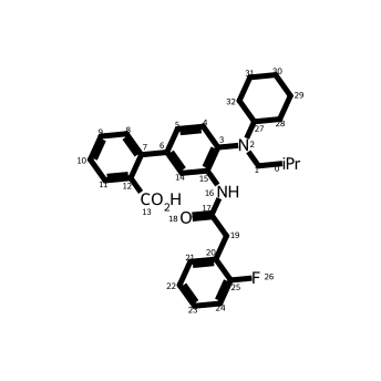 CC(C)CN(c1ccc(-c2ccccc2C(=O)O)cc1NC(=O)Cc1ccccc1F)C1CCCCC1